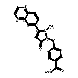 COC(=O)c1ccc(Cn2c(=O)cc(-c3ccc4nccnc4c3)n2C)cc1